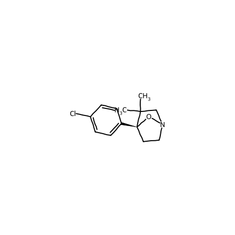 CC1(C)CN2CC[C@@]1(c1ccc(Cl)cc1)O2